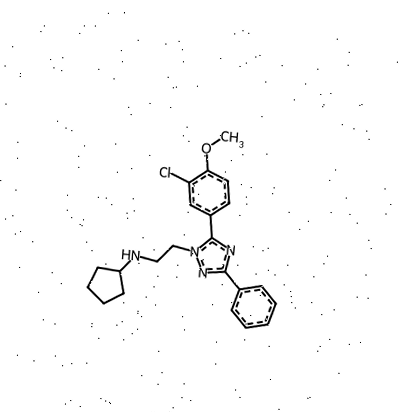 COc1ccc(-c2nc(-c3ccccc3)nn2CCNC2CCCC2)cc1Cl